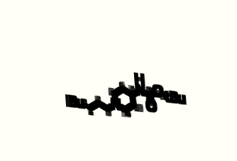 CC[C@H](C)CCCN1CCC(NC(=O)OC(C)(C)C)CC1